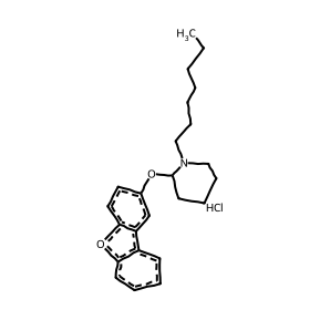 CCCCCCCN1CCCCC1Oc1ccc2oc3ccccc3c2c1.Cl